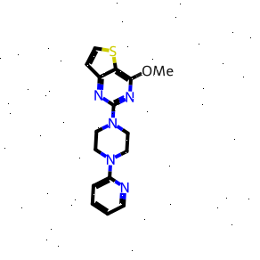 COc1nc(N2CCN(c3ccccn3)CC2)nc2ccsc12